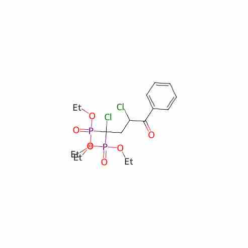 CCOP(=O)(OCC)C(Cl)(CC(Cl)C(=O)c1ccccc1)P(=O)(OCC)OCC